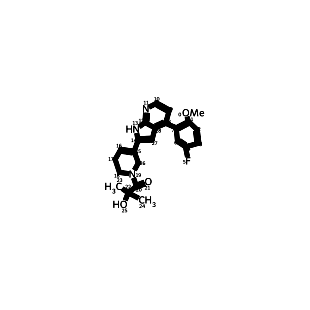 COc1ccc(F)cc1-c1ccnc2[nH]c(C3=CCCN(C(=O)C(C)(C)O)C3)cc12